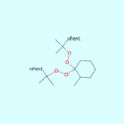 CCCCCC(C)(C)OOC1(OOC(C)(C)CCCCC)CCCCC1C